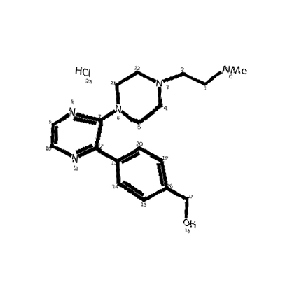 CNCCN1CCN(c2nccnc2-c2ccc(CO)cc2)CC1.Cl